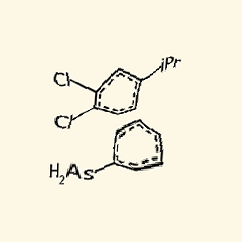 CC(C)c1ccc(Cl)c(Cl)c1.[AsH2]c1ccccc1